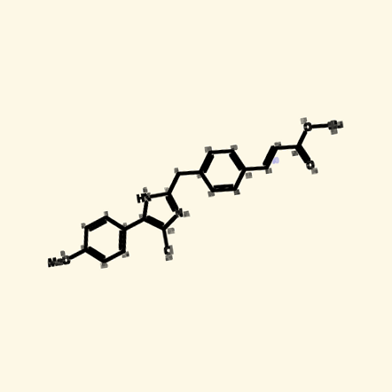 COc1ccc(-c2[nH]c(Cc3ccc(/C=C/C(=O)OC(C)(C)C)cc3)nc2Cl)cc1